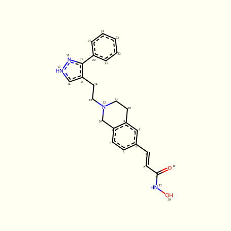 O=C(C=Cc1ccc2c(c1)CCN(CCc1c[nH]nc1-c1ccccc1)C2)NO